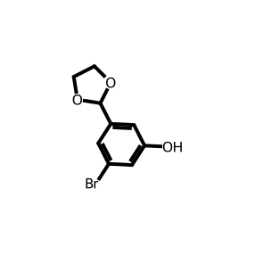 Oc1cc(Br)cc(C2OCCO2)c1